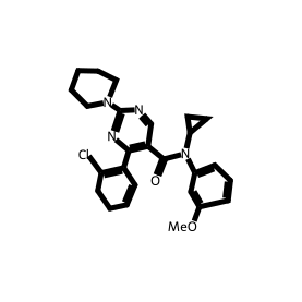 COc1cccc(N(C(=O)c2cnc(N3CCCCC3)nc2C2=C(Cl)CCC=C2)C2CC2)c1